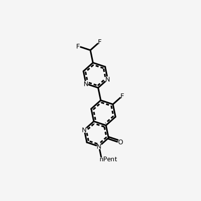 CCCCCn1cnc2cc(-c3ncc(C(F)F)cn3)c(F)cc2c1=O